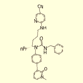 CCC[C@H](CCCNc1ccc(C#N)cn1)N(C(=O)NCc1ccccc1)c1ccc(-c2cccn(C)c2=O)cc1